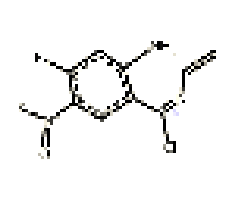 C=C/N=C(/Cl)c1cc([N+](=O)[O-])c(F)cc1N